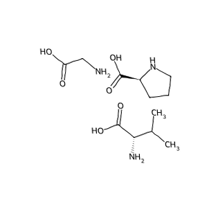 CC(C)[C@H](N)C(=O)O.NCC(=O)O.O=C(O)[C@@H]1CCCN1